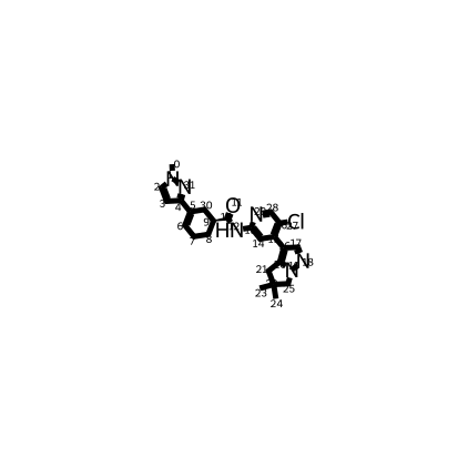 Cn1ccc(C2=CCC[C@H](C(=O)Nc3cc(-c4cnn5c4CC(C)(C)C5)c(Cl)cn3)C2)n1